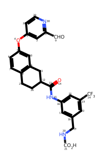 O=Cc1cc(Oc2ccc3c(c2)CC(C(=O)Nc2cc(CNC(=O)O)cc(C(F)(F)F)c2)CC3)ccn1